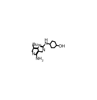 CCC(C)c1cnc(N)c2cnc(NC3CCC(O)CC3)nc12